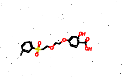 Cc1cccc(S(=O)(=O)CCOCCOc2ccc(C(=O)O)c(O)c2)c1